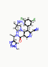 CC(NC(=O)c1cnc(C#N)c(-c2cc(F)cc(F)c2)c1N1CC[C@](C)(N)C1)c1cn(C)nn1